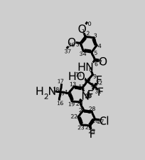 COc1ccc(C(=O)NCC(O)(c2cc(C(C)(C)N)cc(-c3ccc(F)c(Cl)c3)n2)C(F)(F)F)cc1OC